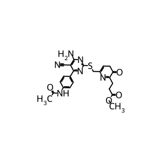 COC(=O)CCC1=NC(CSc2nc(N)c(C#N)c(-c3ccc(NC(C)=O)cc3)n2)=CCC1=O